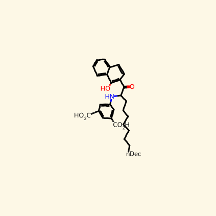 CCCCCCCCCCCCCCCCCC(Nc1cc(C(=O)O)cc(C(=O)O)c1)C(=O)c1ccc2ccccc2c1O